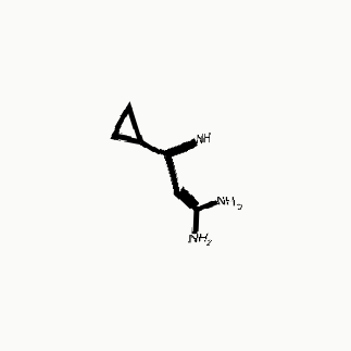 N=C(C=C(N)N)C1CC1